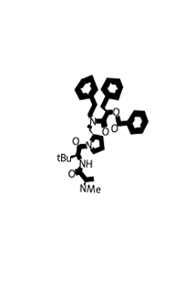 CN[C@@H](C)C(=O)N[C@H](C(=O)N1CCC[C@H]1CN(CCc1ccccc1)C(=O)[C@@H](Cc1ccccc1)OC(=O)c1ccccc1)C(C)(C)C